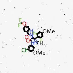 COc1cc(Cl)cc(-n2c(=O)c(NC(=O)c3ccc(OC(F)F)cc3)c(-c3c(F)cc(OC)cc3F)n2C)c1